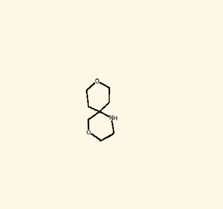 C1COCC2(CCOCC2)N1